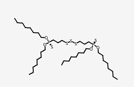 CCCCCCCCOP(=S)(CCCSSSCCCP(=S)(OCCCCCCCC)OCCCCCCCC)OCCCCCCCC